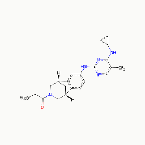 COCC(=O)N1C[C@H]2C[C@@H](C1)c1ccc(Nc3ncc(C(F)(F)F)c(NC4CC4)n3)cc12